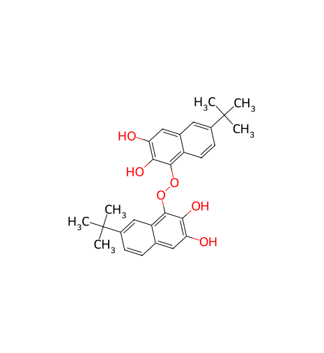 CC(C)(C)c1ccc2c(OOc3c(O)c(O)cc4ccc(C(C)(C)C)cc34)c(O)c(O)cc2c1